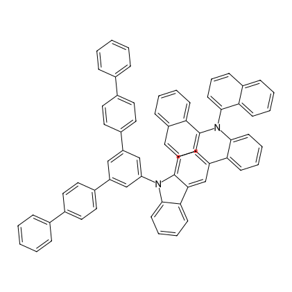 c1ccc(-c2ccc(-c3cc(-c4ccc(-c5ccccc5)cc4)cc(-n4c5ccccc5c5cc(-c6ccccc6N(c6cccc7ccccc67)c6cccc7ccccc67)ccc54)c3)cc2)cc1